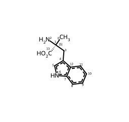 C[C@](N)(Cc1c[nH]c2ccccc12)C(=O)O